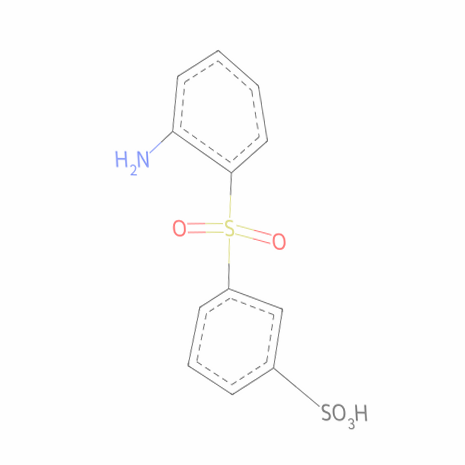 Nc1ccccc1S(=O)(=O)c1cccc(S(=O)(=O)O)c1